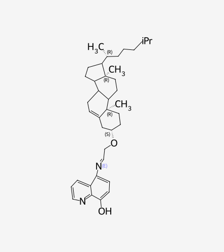 CC(C)CCC[C@@H](C)C1CCC2C3CC=C4C[C@@H](OC/C=N/c5ccc(O)c6ncccc56)CC[C@]4(C)C3CC[C@@]21C